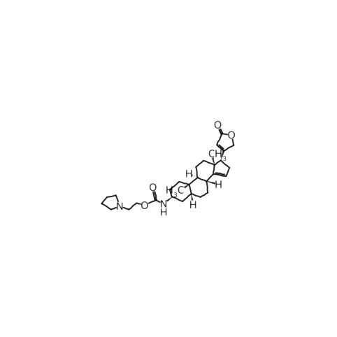 C[C@]12CC[C@H](NC(=O)OCCN3CCCC3)C[C@H]1CC[C@H]1C3=CC[C@H](C4=CC(=O)OC4)[C@@]3(C)CC[C@@H]12